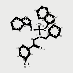 CC(Oc1csc2ccccc12)(Oc1csc2ccccc12)N(CC(=O)c1cccc(N)c1)Cc1ccccc1